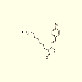 CC(=O)c1ccc(C=C[C@@H]2CCC(=O)[C@H]2CCCCCCC(=O)O)cc1